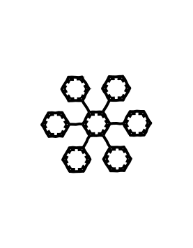 [c]1[c]c(-c2c(-c3ccccc3)c(-c3ccccc3)c(-c3ccccc3)c(-c3ccccc3)c2-c2ccccc2)ccc1